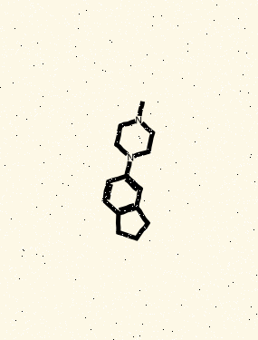 CN1CCN(c2ccc3c(c2)CCC3)CC1